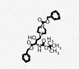 CC(C)(C)OC(=O)N[C@H](C(=O)OCc1ccccc1)C(O)CN1CCN(C(=O)OCc2ccccc2)CC1